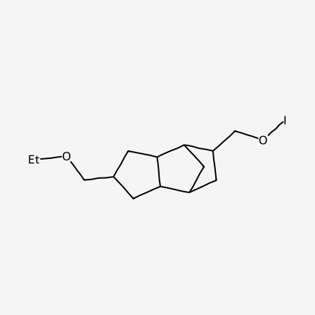 CCOCC1CC2C3CC(COI)C(C3)C2C1